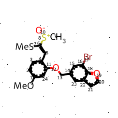 COc1ccc(/C=C(\SC)[S+](C)[O-])c(OCc2cc(Br)c3occc3c2)c1